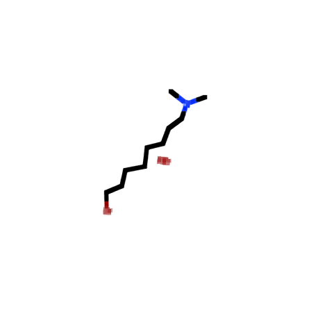 Br.CN(C)CCCCCCCCBr